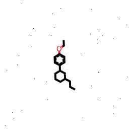 CCCC1CCCC(c2ccc(OCC)cc2)C1